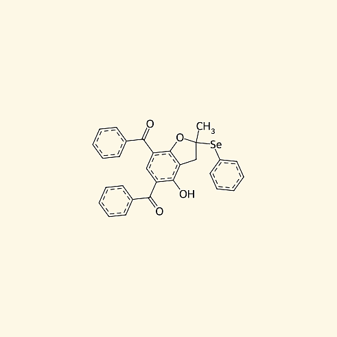 CC1([Se]c2ccccc2)Cc2c(O)c(C(=O)c3ccccc3)cc(C(=O)c3ccccc3)c2O1